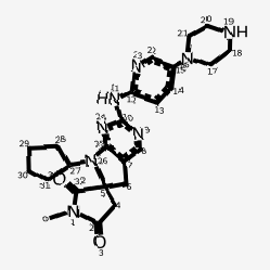 CN1C(=O)CC2(Cc3cnc(Nc4ccc(N5CCNCC5)cn4)nc3N2C2CCCC2)C1=O